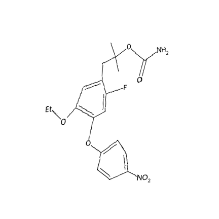 CCOc1cc(CC(C)(C)OC(N)=O)c(F)cc1Oc1ccc([N+](=O)[O-])cc1